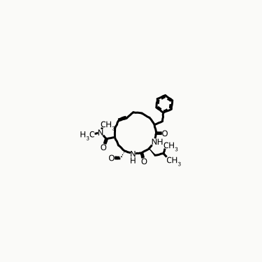 CC(C)C[C@@H]1NC(=O)C(Cc2ccccc2)CCC/C=C/CC(C(=O)N(C)C)C[C@@H](C=O)NC1=O